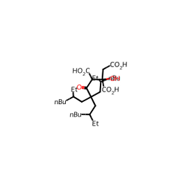 CCCCC(CC)CC(CC(CC)CCCC)(CC(CC)CCCC)C(=O)C(C(=O)O)C(O)(CC(=O)O)C(=O)O